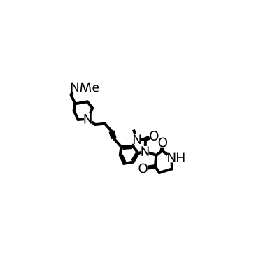 CNCC1CCN(CCC#Cc2cccc3c2n(C)c(=O)n3C2C(=O)CCNC2=O)CC1